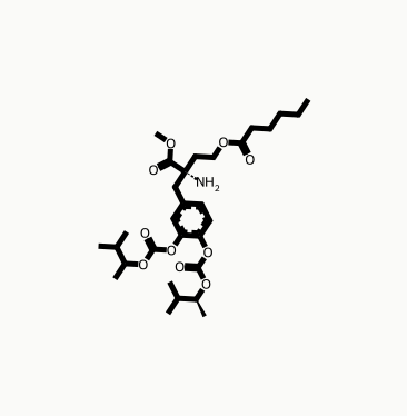 CCCCCC(=O)OCC[C@@](N)(Cc1ccc(OC(=O)O[C@@H](C)C(C)C)c(OC(=O)OC(C)C(C)C)c1)C(=O)OC